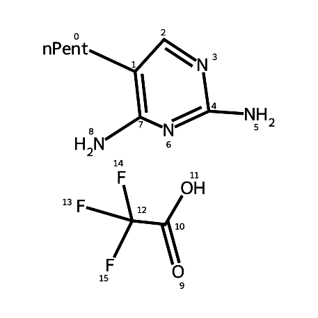 CCCCCc1cnc(N)nc1N.O=C(O)C(F)(F)F